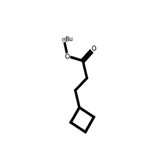 CCCCOC(=O)CCC1CCC1